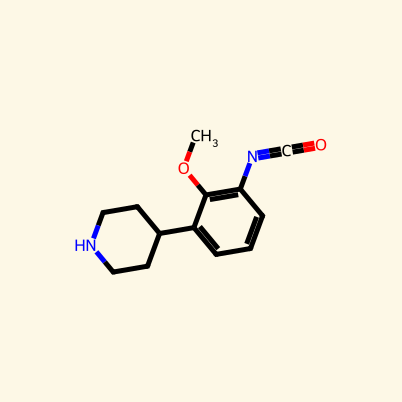 COc1c(N=C=O)cccc1C1CCNCC1